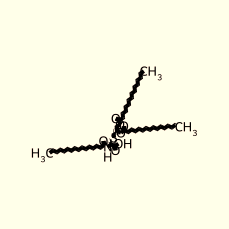 CCCCCCCCCCCCCCCC(=O)N[C@@H](CSC[C@@H](COC(=O)CCCCCCCCCCCCCCC)OC(=O)CCCCCCCCCCCCCCC)C(=O)O